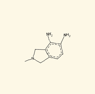 CN1Cc2ccc(N)c(N)c2C1